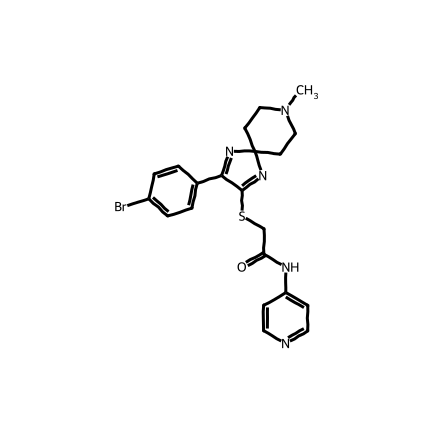 CN1CCC2(CC1)N=C(SCC(=O)Nc1ccncc1)C(c1ccc(Br)cc1)=N2